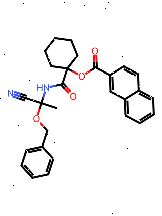 CC(C#N)(NC(=O)C1(OC(=O)c2ccc3ccccc3c2)CCCCC1)OCc1ccccc1